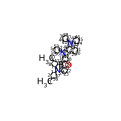 Cc1ccc(N2c3ccc(C)cc3B3c4cc5c(cc4Oc4cccc2c43)c2c3ccccc3c(N(c3ccccc3)c3ccccc3)cc2n5-c2ccccc2)cc1